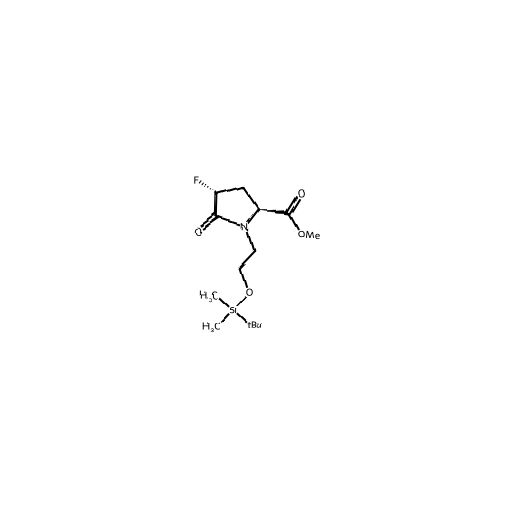 COC(=O)[C@@H]1C[C@@H](F)C(=O)N1CCO[Si](C)(C)C(C)(C)C